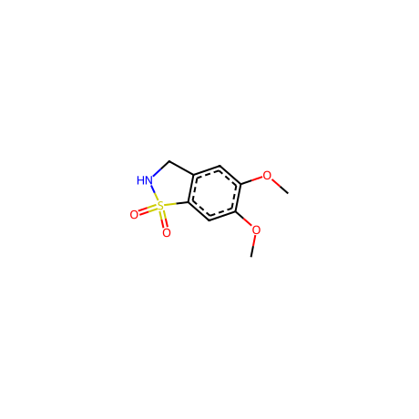 COc1cc2c(cc1OC)S(=O)(=O)NC2